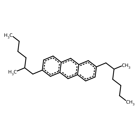 CCCCC(C)Cc1ccc2cc3cc(CC(C)CCCC)ccc3cc2c1